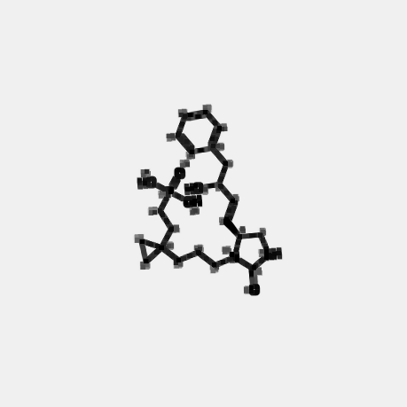 O=C1NC[C@H](C=CC(O)Cc2ccccc2)N1CCCC1(CCP(=O)(O)O)CC1